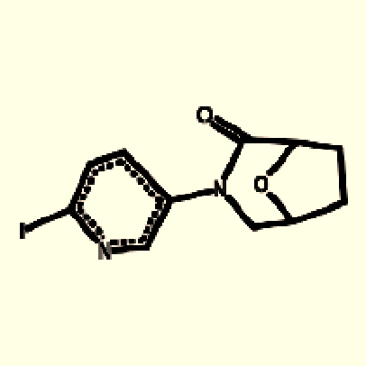 O=C1C2CCC(CN1c1ccc(I)nc1)O2